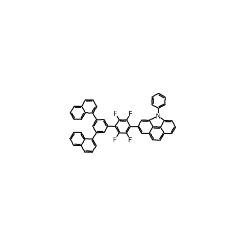 Fc1c(F)c(-c2cc3ccc4cccc5c4c3c(c2)n5-c2ccccc2)c(F)c(F)c1-c1cc(-c2cccc3ccccc23)cc(-c2cccc3ccccc23)c1